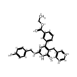 CCOC(=O)c1cccc(-c2nc(SCc3ccc(F)cc3)[nH]c(=O)c2Cc2cncnc2)c1